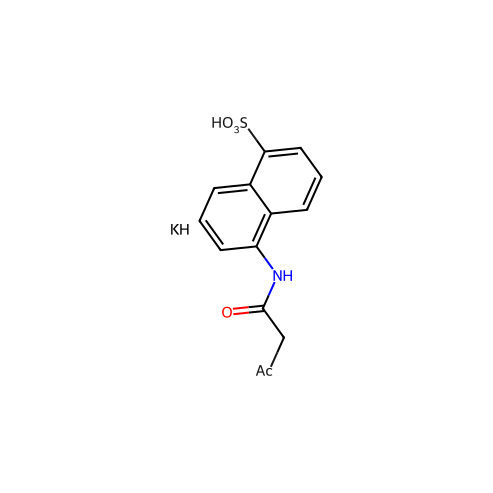 CC(=O)CC(=O)Nc1cccc2c(S(=O)(=O)O)cccc12.[KH]